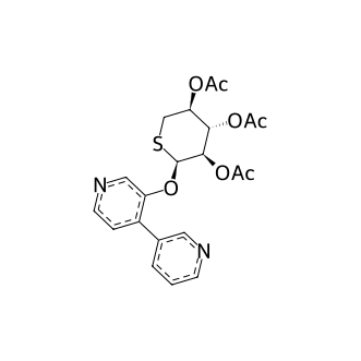 CC(=O)O[C@@H]1[C@@H](OC(C)=O)[C@@H](Oc2cnccc2-c2cccnc2)SC[C@H]1OC(C)=O